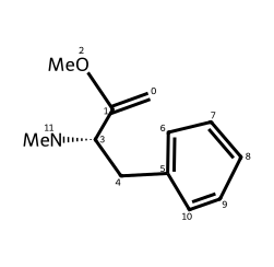 C=C(OC)[C@H](Cc1ccccc1)NC